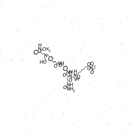 Cc1[nH]c2ccccc2c1CCN(CCO)Cc1ccc(/C=C/C(=O)NOCc2ccc(NC(=O)[C@H](CCCNC(N)=O)NC(=O)[C@@H](NC(=O)CCCCCC(=O)ON3C(=O)CCC3=O)C(C)C)cc2)cc1